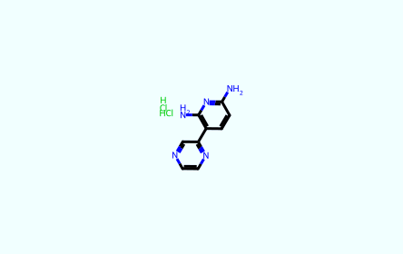 Cl.Cl.Nc1ccc(-c2cnccn2)c(N)n1